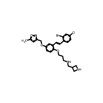 Cc1cc(COc2ccc(OCCCNCC3CNC3)c(/C=C/c3ccc(Cl)cc3Br)c2)no1